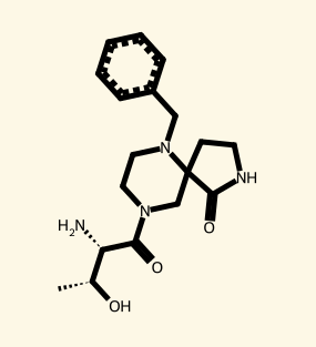 C[C@@H](O)[C@H](N)C(=O)N1CCN(Cc2ccccc2)C2(CCNC2=O)C1